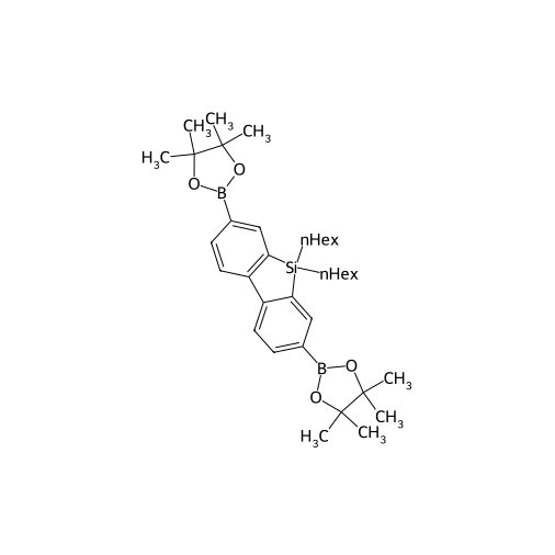 CCCCCC[Si]1(CCCCCC)c2cc(B3OC(C)(C)C(C)(C)O3)ccc2-c2ccc(B3OC(C)(C)C(C)(C)O3)cc21